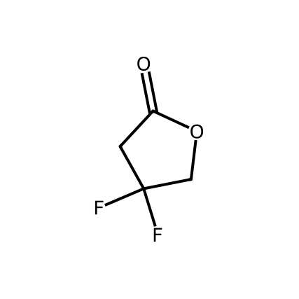 O=C1CC(F)(F)CO1